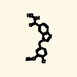 COc1cc(Cn2cnc3ccc(C(=O)NO)cc32)ccc1Cl